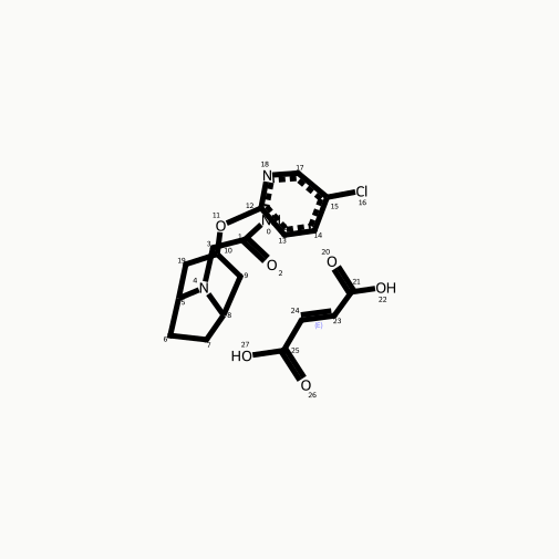 NC(=O)CN1C2CCC1CC(Oc1ccc(Cl)cn1)C2.O=C(O)/C=C/C(=O)O